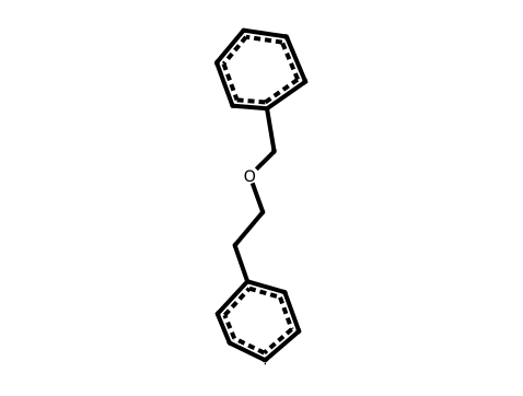 [c]1ccc(CCOCc2ccccc2)cc1